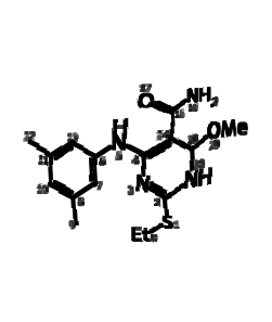 CCSC1=NC(Nc2cc(C)cc(C)c2)=C(C(N)=O)C(OC)N1